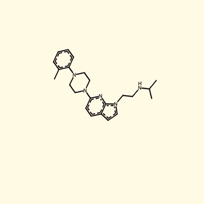 Cc1ccccc1N1CCN(c2ccc3ccn(CCNC(C)C)c3n2)CC1